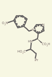 CC(C)CC(N[C@H](C(=O)O)c1cncn1Cc1cccc([N+](=O)[O-])c1)C(=O)O